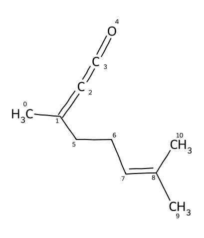 CC(=C=C=O)CCC=C(C)C